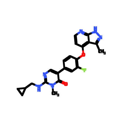 Cc1n[nH]c2nccc(Oc3ccc(-c4cnc(NCC5CC5)n(C)c4=O)cc3F)c12